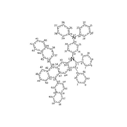 c1ccc(-c2c(-c3ccccc3)n(-c3ccc(N(c4ccccc4)c4ccccc4)cc3)c3cc4c(-c5ccc6ccccc6c5)c5ccccc5c(-c5ccc6ccccc6c5)c4cc23)cc1